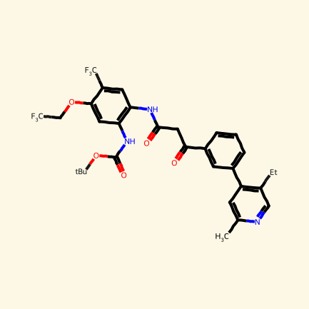 CCc1cnc(C)cc1-c1cccc(C(=O)CC(=O)Nc2cc(C(F)(F)F)c(OCC(F)(F)F)cc2NC(=O)OC(C)(C)C)c1